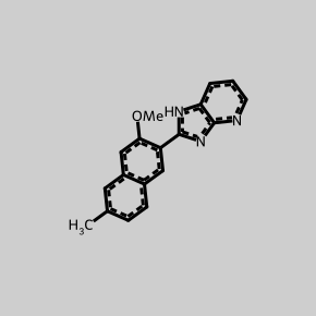 COc1cc2cc(C)ccc2cc1-c1nc2ncccc2[nH]1